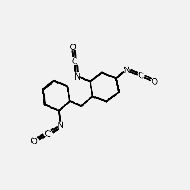 O=C=NC1CCC(CC2CCCCC2N=C=O)C(N=C=O)C1